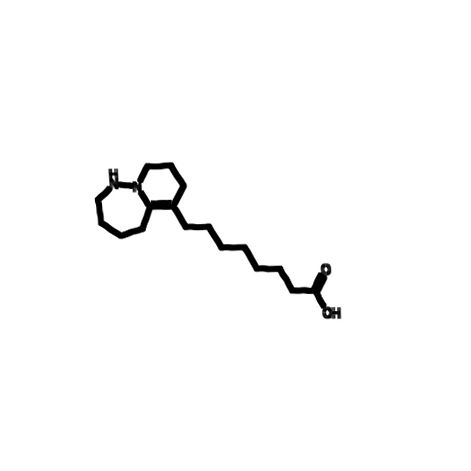 O=C(O)CCCCCCCC1=C2CCCCNN2CCC1